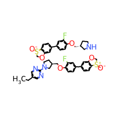 CCc1cnc(N2CC[C@@H](COc3ccc(-c4ccc5c(c4)OC[S+]5[O-])cc3F)C2)nc1.[O-][S+]1COc2cc(-c3ccc(OC[C@@H]4CCNC4)c(F)c3)ccc21